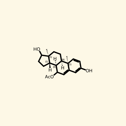 CC(=O)OC1C=C2C=C(O)C=C[C@]2(C)[C@@H]2CC[C@]3(C)C(O)CC[C@H]3[C@H]12